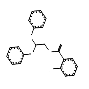 O=C(O)c1ccccc1C(=O)OCC(Oc1ccccc1)Oc1ccccc1